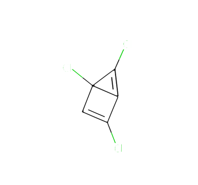 ClC1=CC2(Cl)C(Cl)=C12